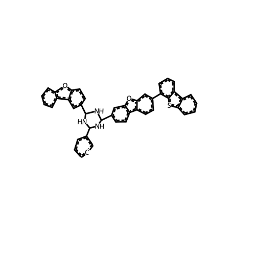 c1ccc(C2NC(c3ccc4c(c3)oc3cc(-c5cccc6c5sc5ccccc56)ccc34)NC(c3ccc4oc5ccccc5c4c3)N2)cc1